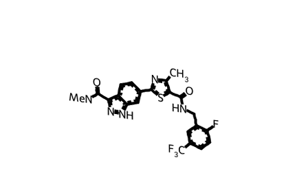 CNC(=O)c1n[nH]c2cc(-c3nc(C)c(C(=O)NCc4cc(C(F)(F)F)ccc4F)s3)ccc12